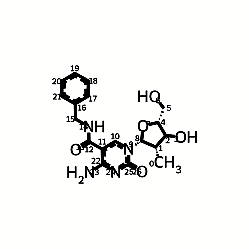 C[C@H]1C(O)[C@@H](CO)O[C@H]1n1cc(C(=O)NCc2ccccc2)c(N)nc1=O